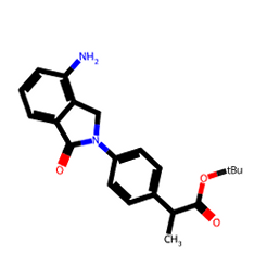 CC(C(=O)OC(C)(C)C)c1ccc(N2Cc3c(N)cccc3C2=O)cc1